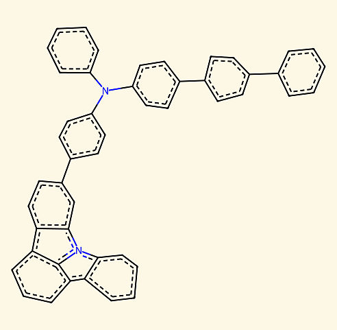 c1ccc(-c2ccc(-c3ccc(N(c4ccccc4)c4ccc(-c5ccc6c7cccc8c9ccccc9n(c6c5)c87)cc4)cc3)cc2)cc1